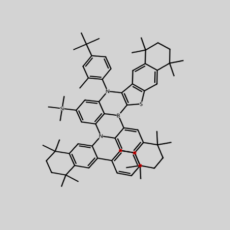 Cc1cc(C(C)(C)C)ccc1N1c2cc([Si](C)(C)C)cc3c2B(c2cc4c(cc2N3c2cc3c(cc2-c2ccccc2)C(C)(C)CCC3(C)C)C(C)(C)CCC4(C)C)c2sc3cc4c(cc3c21)C(C)(C)CCC4(C)C